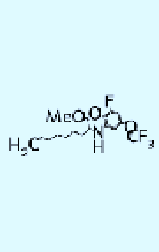 C=CCCCCCC(Nc1cc(F)cc(OC(F)(F)F)c1)C(=O)OC